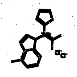 C[C](C)=[Zr+2]([C]1=CC=CC1)[CH]1C=Cc2c(C)cccc21.[Cl-].[Cl-]